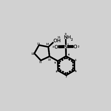 NS(=O)(=O)c1ccccc1C1CCCC1O